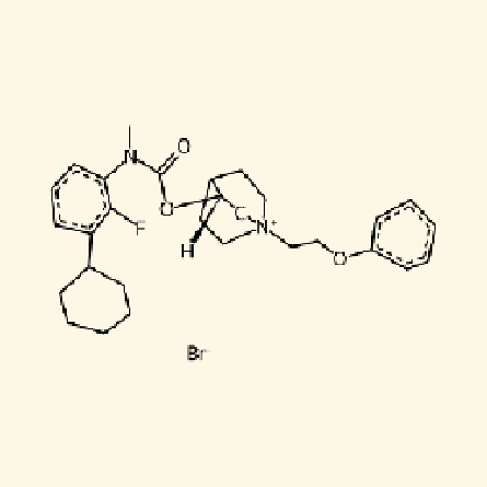 CN(C(=O)O[C@H]1C[N+]2(CCOc3ccccc3)CCC1CC2)c1cccc(C2CCCCC2)c1F.[Br-]